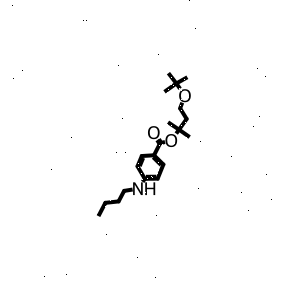 CCCCNc1ccc(C(=O)OC(C)(C)CCOC(C)(C)C)cc1